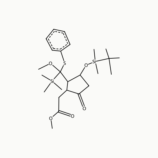 COC(=O)CC1C(=O)CC(O[Si](C)(C)C(C)(C)C)C1C(OC)(Sc1ccccc1)[Si](C)(C)C